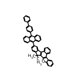 CC1(C)c2ccc(-c3c4ccccc4c(-c4ccc(-c5ccccc5)cc4)c4ccccc34)cc2-c2c1c1oc3ccccc3c1c1ccccc21